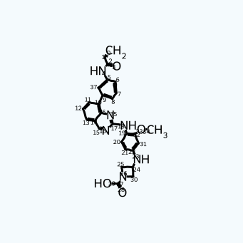 C=CC(=O)Nc1cccc(-c2cccc3cnc(Nc4ccc(NC5CN(C(=O)O)C5)cc4OC)nc23)c1